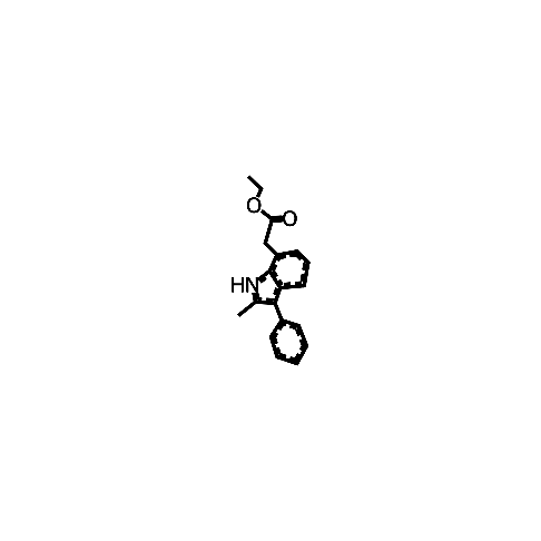 CCOC(=O)Cc1cccc2c(-c3ccccc3)c(C)[nH]c12